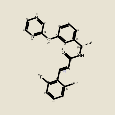 C[C@H](NC(=O)/C=C/c1c(F)cccc1F)c1cccc(Oc2cnccn2)c1